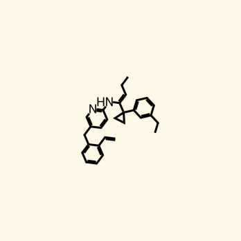 C=Cc1ccccc1Cc1ccc(N/C(=C\CC)C2(c3cccc(CC)c3)CC2)nc1